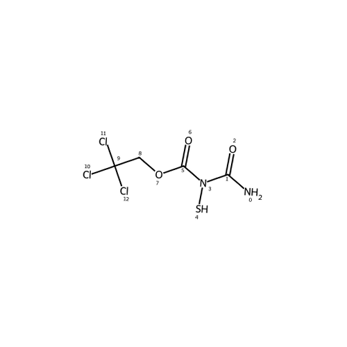 NC(=O)N(S)C(=O)OCC(Cl)(Cl)Cl